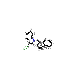 O=C(O)C1C(Cl)c2ccccc2N1Cc1cccc2ccccc12